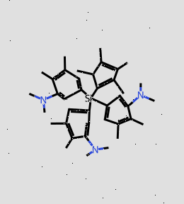 CC1=C(C)C(C)C([Si](c2cc(C)c(C)c(N(C)C)c2)(c2cc(C)c(C)c(N(C)C)c2)c2cc(C)c(C)c(N(C)C)c2)=C1C